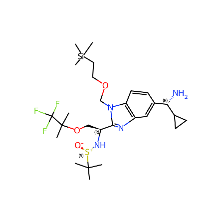 CC(C)(C)[S@@+]([O-])N[C@@H](COC(C)(C)C(F)(F)F)c1nc2cc([C@H](N)C3CC3)ccc2n1COCC[Si](C)(C)C